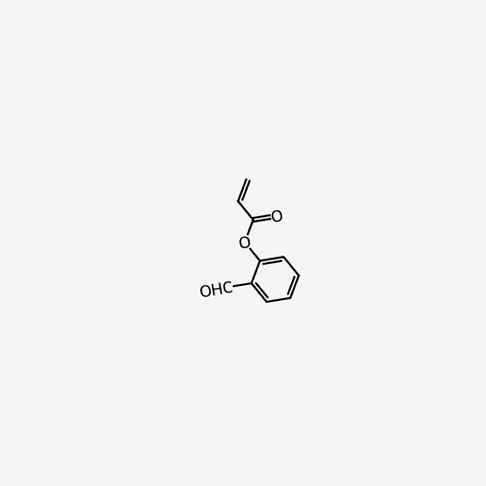 C=CC(=O)Oc1ccccc1C=O